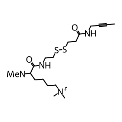 CC#CCNC(=O)CCSSCCNC(=O)C(CCCC[N+](C)(C)C)NC